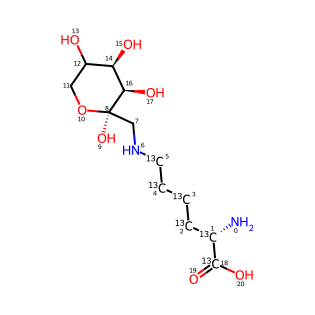 N[13C@@H]([13CH2][13CH2][13CH2][13CH2]NC[C@@]1(O)OCC(O)[C@@H](O)[C@H]1O)[13C](=O)O